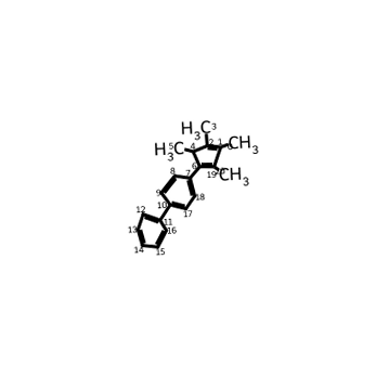 CC1=C(C)C(C)C(c2ccc(-c3ccccc3)cc2)=C1C